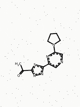 CC(=O)c1nnc(-c2cncc(N3CCCC3)n2)s1